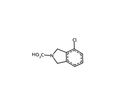 O=C(O)N1Cc2cccc(Cl)c2C1